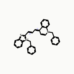 C1=CN(Cc2ccccc2)c2ccccc2/C1=C/C=C/c1sc2ccccc2[n+]1Cc1ccccc1